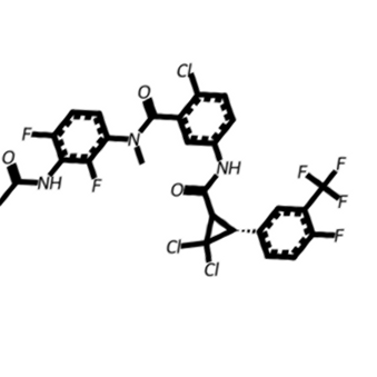 CC(=O)Nc1c(F)ccc(N(C)C(=O)c2cc(NC(=O)C3[C@H](c4ccc(F)c(C(F)(F)F)c4)C3(Cl)Cl)ccc2Cl)c1F